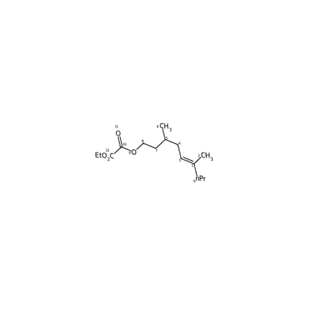 CCCC(C)=CCC(C)CCOC(=O)C(=O)OCC